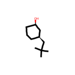 CC(C)(C)C[C@H]1CCC[C@@H](O)C1